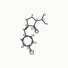 CC(C)C1CCC(=Cc2ccc(Cl)cc2)C1=O